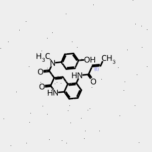 C/C=C/C(=O)Nc1cccc2[nH]c(=O)c(C(=O)N(C)c3ccc(O)cc3)cc12